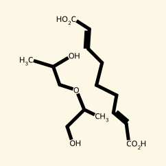 CC(O)COC(C)CO.O=C(O)C=CCCCC=CC(=O)O